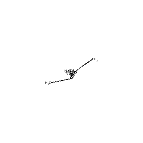 CCCCCCCCCCCCCCCCCCCCCCc1ccc2c(c1)N=c1c(c3c(n1C(=O)OC(C)(C)C)=Nc1cc(CCCCCCCCCCCCCCCCCCCCCC)ccc1S3)S2